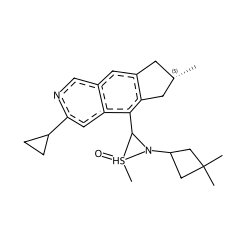 C[C@H]1Cc2cc3cnc(C4CC4)cc3c(C3N(C4CC(C)(C)C4)[SH]3(C)=O)c2C1